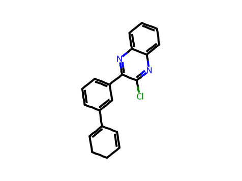 Clc1nc2ccccc2nc1-c1cccc(C2=CCCC=C2)c1